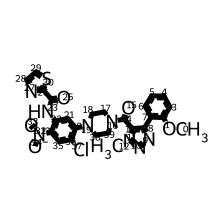 COc1ccccc1-c1nnn(C)c1C(=O)N1CCN(c2cc(NC(=O)c3nccs3)c([N+](=O)[O-])cc2Cl)CC1